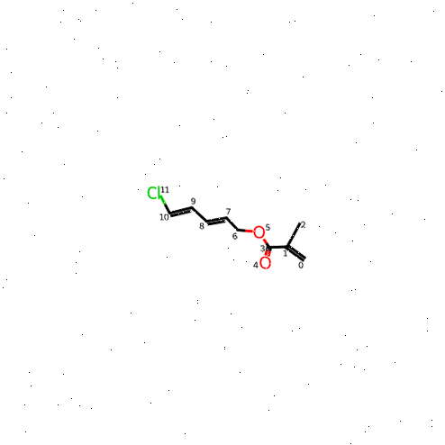 C=C(C)C(=O)OCC=CC=CCl